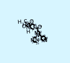 CN1C(=O)NC2(CCN(C(=O)c3cc(-c4ccncc4)n(-c4cnccn4)n3)CC2)C1=O